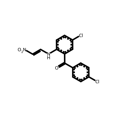 O=C(c1ccc(Cl)cc1)c1cc(Cl)ccc1NC=C[N+](=O)[O-]